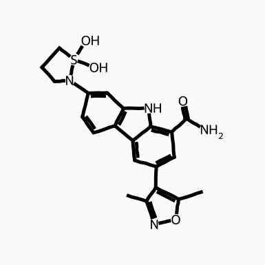 Cc1noc(C)c1-c1cc(C(N)=O)c2[nH]c3cc(N4CCCS4(O)O)ccc3c2c1